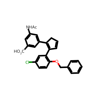 CC(=O)Nc1cc(C(=O)O)cc(C2=C(c3cc(Cl)ccc3OCc3ccccc3)C=CC2)c1